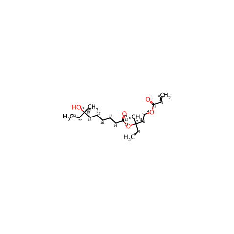 C=CC(=O)OCCC(C)(CC)OC(=O)CCCCCC(C)(O)CC